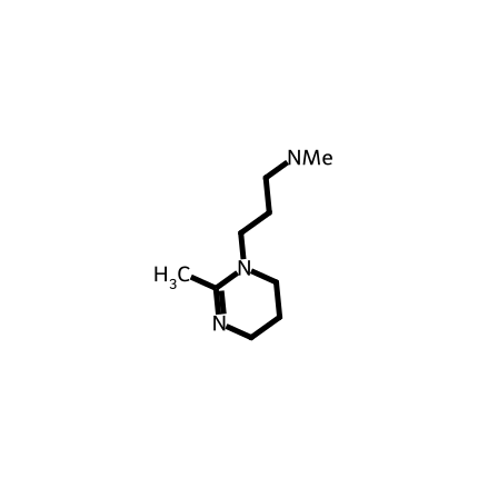 CNCCCN1CCCN=C1C